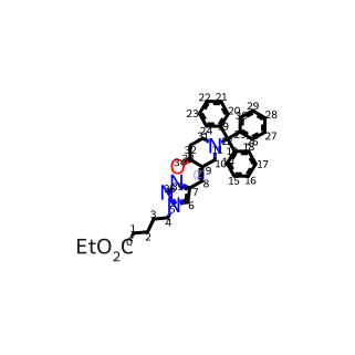 CCOC(=O)CCCCn1cc(/C=C2/CN(C(c3ccccc3)(c3ccccc3)c3ccccc3)CCC2=O)nn1